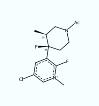 CC(=O)N1CC[C@](F)(c2cc(Cl)c[n+](C)c2F)[C@@H](C)C1